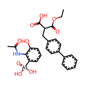 CC(=O)Nc1c(O)cccc1[As](=O)(O)O.CCOC(=O)C(Cc1ccc(-c2ccccc2)cc1)C(=O)O